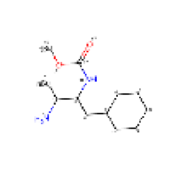 CCCCC(N)C(CC1CCCCC1)NC(=O)OC(C)(C)C